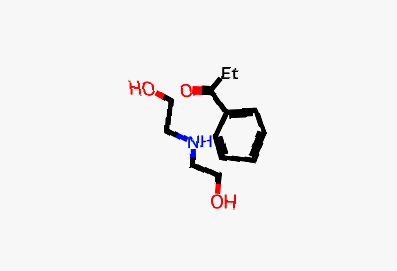 CCC(=O)c1ccccc1.OCCNCCO